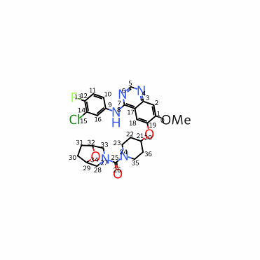 COc1cc2ncnc(Nc3ccc(F)c(Cl)c3)c2cc1OC1CCN(C(=O)N2CC3CCC(C2)O3)CC1